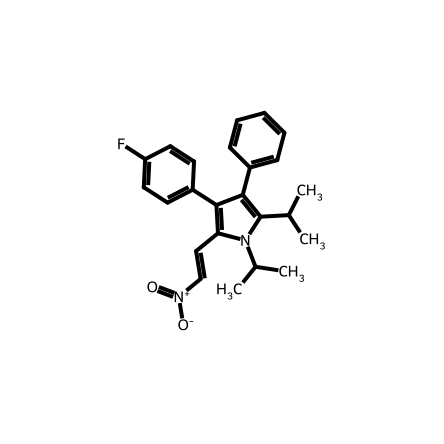 CC(C)c1c(-c2ccccc2)c(-c2ccc(F)cc2)c(C=C[N+](=O)[O-])n1C(C)C